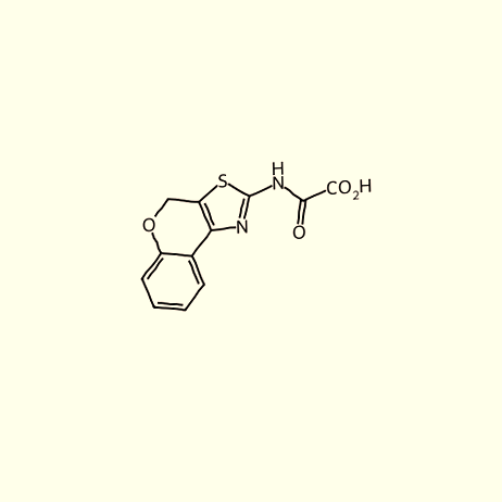 O=C(O)C(=O)Nc1nc2c(s1)COc1ccccc1-2